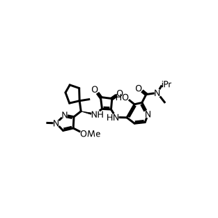 COc1cn(C)nc1[C@H](Nc1c(Nc2ccnc(C(=O)N(C)C(C)C)c2O)c(=O)c1=O)C1(C)CCCC1